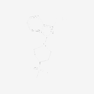 CS(=O)(=O)C1CCN(c2nc(C=O)c3ccccn23)CC1